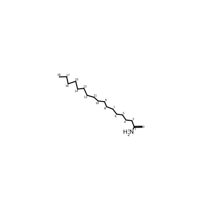 C=C(N)CCCCCCCCCCCCCCCC